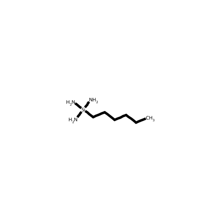 CCCCCC[Si](N)(N)N